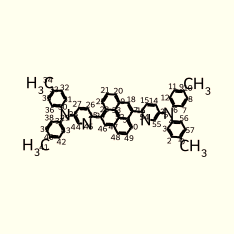 Cc1ccc(N(c2ccc(C)cc2)c2ccc(-c3cc4cccc5c(-c6ccc(N(c7ccc(C)cc7)c7ccc(C)cc7)cn6)cc6cccc3c6c45)nc2)cc1